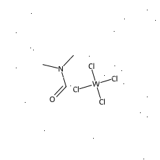 CN(C)C=O.[Cl][W]([Cl])([Cl])[Cl]